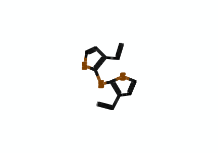 C=Cc1ccsc1Sc1sccc1C=C